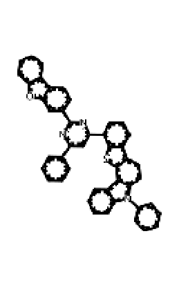 c1ccc(-c2cc(-c3cccc4c3sc3c4ccc4c3c3ccccc3n4-c3ccccc3)nc(-c3ccc4c(c3)oc3ccccc34)n2)cc1